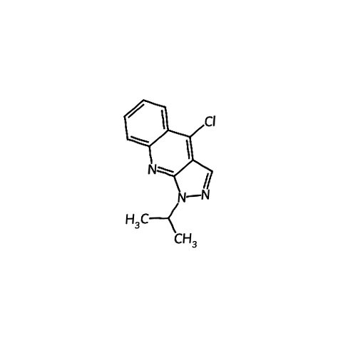 CC(C)n1ncc2c(Cl)c3ccccc3nc21